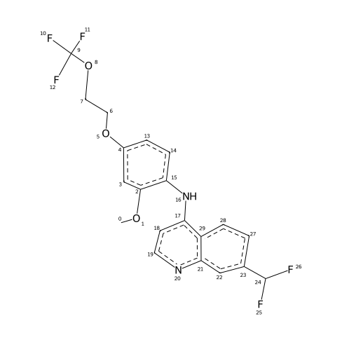 COc1cc(OCCOC(F)(F)F)ccc1Nc1ccnc2cc(C(F)F)ccc12